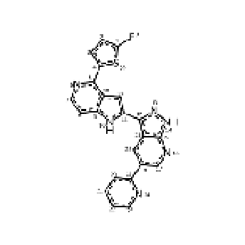 Fc1ccc(-c2nccc3[nH]c(-c4n[nH]c5ncc(-c6ccccn6)cc45)cc23)s1